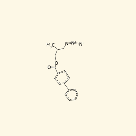 CC(CN=[N+]=[N-])COC(=O)c1ccc(-c2ccccc2)cc1